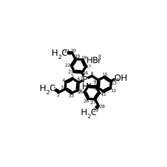 Br.C=Cc1ccc([PH](Cc2cccc(O)c2)(c2ccc(C=C)cc2)c2ccc(C=C)cc2)cc1